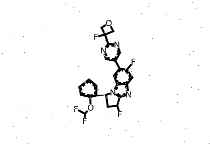 Fc1cc2nc3n(c2cc1-c1cnc(C2(F)COC2)nc1)[C@H](c1ccccc1OC(F)F)CC3F